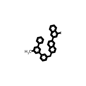 Cc1cc(-c2ccccc2)cc(-c2cccc(Cc3ccc4cc(-c5cc(I)c6ccccc6c5)ccc4c3)c2)c1